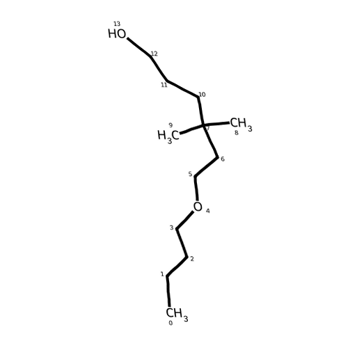 CCCCOCCC(C)(C)CCCO